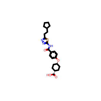 O=C(Nc1nnc(CCC2CCCC2)s1)c1ccc(O[C@H]2CC[C@@H](C(=O)O)CC2)cc1